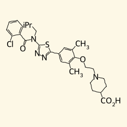 Cc1cc(-c2nnc(N(CC(C)C)C(=O)c3ccccc3Cl)s2)cc(C)c1OCCN1CCC(C(=O)O)CC1